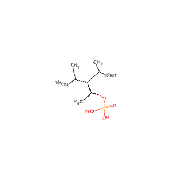 CCCCCC(C)C(C(C)CCCCC)C(C)OP(=O)(O)O